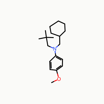 COc1ccc(N(CC2CCCCC2)CC(C)(C)C)cc1